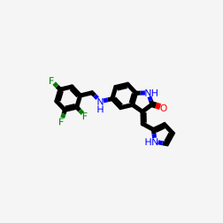 O=C1Nc2ccc(NCc3cc(F)cc(F)c3F)cc2C1=Cc1ccc[nH]1